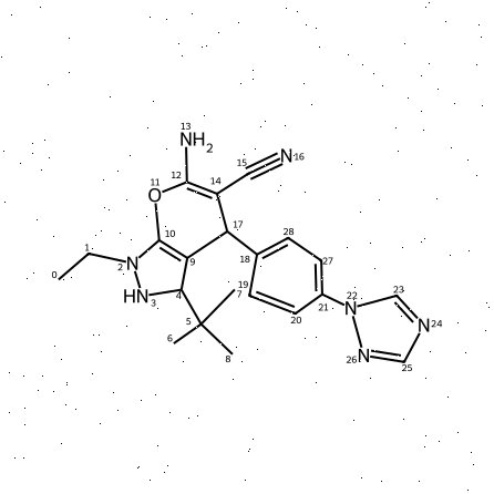 CCN1NC(C(C)(C)C)C2=C1OC(N)=C(C#N)C2c1ccc(-n2cncn2)cc1